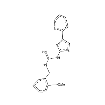 COc1ccccc1CNC(=N)Nc1nc(-c2ccccn2)cs1